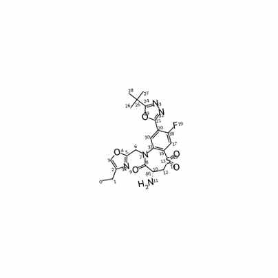 CCc1coc(CN2C(=O)[C@@H](N)CS(=O)(=O)c3cc(F)c(-c4nnc(C(C)(C)C)o4)cc32)n1